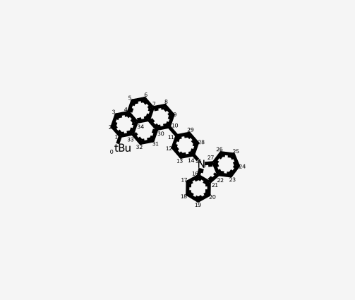 CC(C)(C)c1ccc2ccc3ccc(-c4ccc(-n5c6ccccc6c6ccccc65)cc4)c4ccc1c2c34